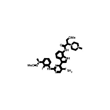 COCC(C(=O)Nc1cccc2c(-c3nc(Nc4cccc(N(C)SOC)c4F)ncc3F)c[nH]c12)N1CCN(C)CC1.S